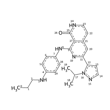 CCCNc1ccc(Nc2nc(-c3ccnn3C(C)C)cc3cc[nH]c(=O)c23)cc1